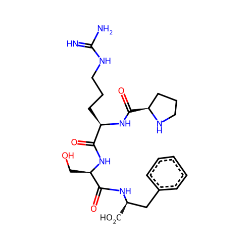 N=C(N)NCCC[C@@H](NC(=O)[C@H]1CCCN1)C(=O)N[C@H](CO)C(=O)N[C@@H](Cc1ccccc1)C(=O)O